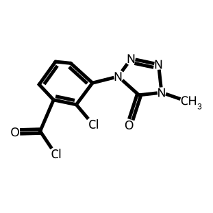 Cn1nnn(-c2cccc(C(=O)Cl)c2Cl)c1=O